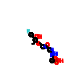 CCc1cc(-c2ccc(F)cc2)c(O)cc1OCC1CCCN(C(=O)c2ccc(NN=Cc3ccccc3S(=O)(=O)O)nc2)C1